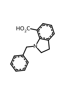 O=C(O)c1cccc2c1N(Cc1ccccc1)CC2